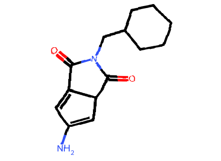 NC1=CC2C(=O)N(CC3CCCCC3)C(=O)C2=C1